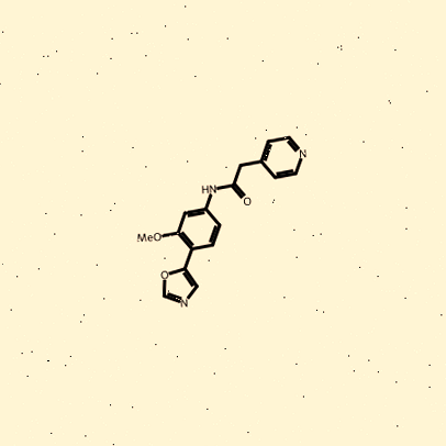 COc1cc(NC(=O)Cc2ccncc2)ccc1-c1cnco1